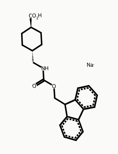 O=C(NC[C@H]1CC[C@H](C(=O)O)CC1)OCC1c2ccccc2-c2ccccc21.[Na]